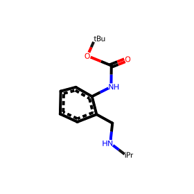 CC(C)NCc1ccccc1NC(=O)OC(C)(C)C